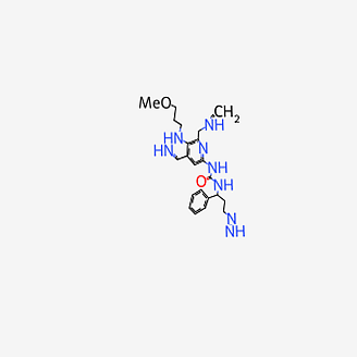 C=CNCc1nc(NC(=O)NC(CCN=N)c2ccccc2)cc(C=N)c1NCCCOC